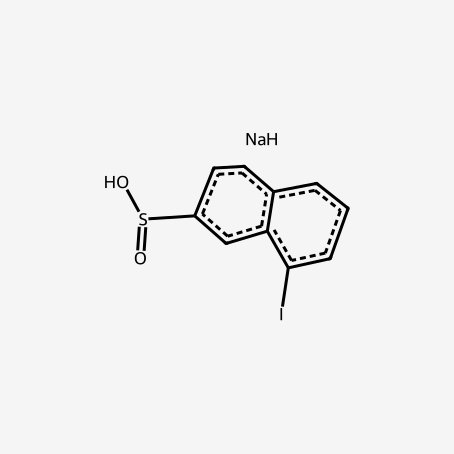 O=S(O)c1ccc2cccc(I)c2c1.[NaH]